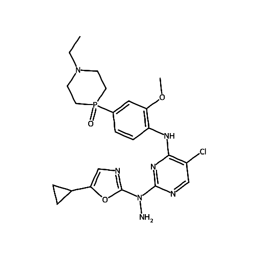 CCN1CCP(=O)(c2ccc(Nc3nc(N(N)c4ncc(C5CC5)o4)ncc3Cl)c(OC)c2)CC1